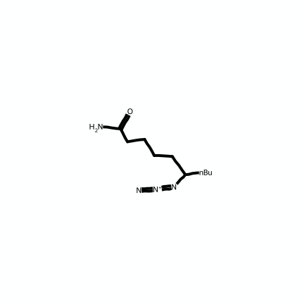 CCCCC(CCCCC(N)=O)N=[N+]=[N-]